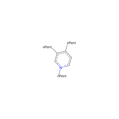 CCCCCc1cc[n+](CCCCC)cc1CCCCC